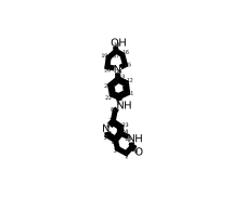 O=C1CCc2cnc(CNc3ccc(N4CCC(O)CC4)cc3)cc2N1